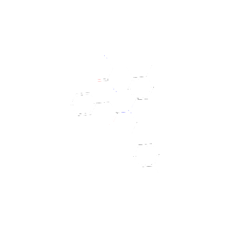 Cc1ccc(CCN(C(=O)[C@@H](NC(=O)CN)c2ccccc2)c2ccc(C)c(C)c2)cc1